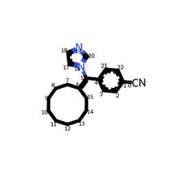 N#Cc1ccc(C(=C2CCCCCCCCC2)n2ccnc2)cc1